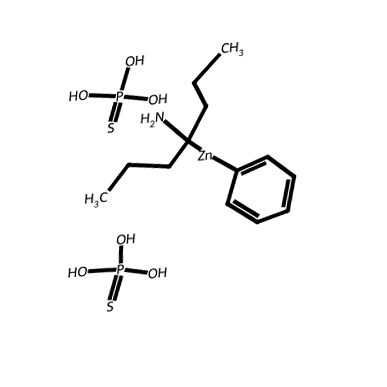 CCC[C](N)(CCC)[Zn][c]1ccccc1.OP(O)(O)=S.OP(O)(O)=S